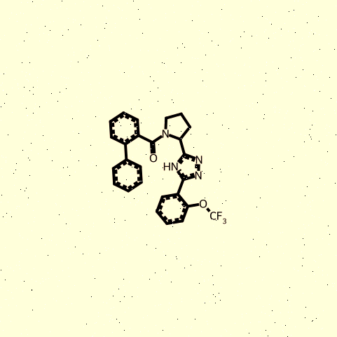 O=C(c1ccccc1-c1ccccc1)N1CCCC1c1nnc(-c2ccccc2OC(F)(F)F)[nH]1